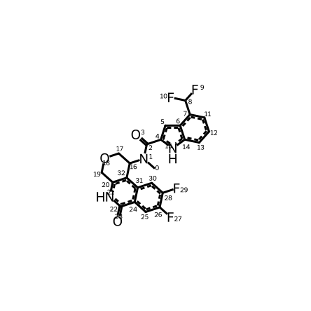 CN(C(=O)c1cc2c(C(F)F)cccc2[nH]1)C1COCc2[nH]c(=O)c3cc(F)c(F)cc3c21